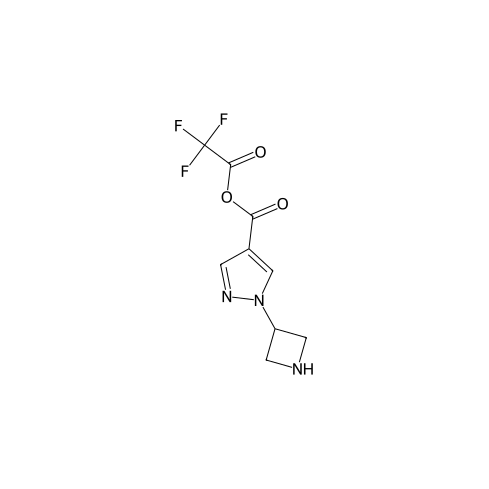 O=C(OC(=O)C(F)(F)F)c1cnn(C2CNC2)c1